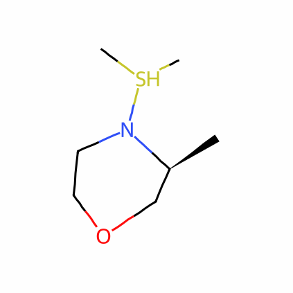 C[C@H]1COCCN1[SH](C)C